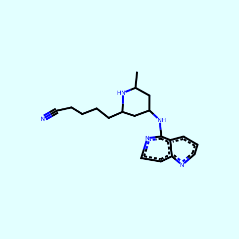 CC1CC(Nc2nccc3ncccc23)CC(CCCCC#N)N1